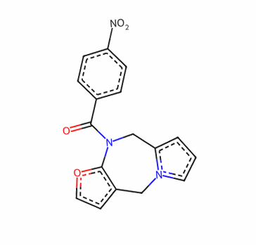 O=C(c1ccc([N+](=O)[O-])cc1)N1Cc2cccn2Cc2ccoc21